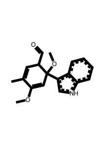 COC1=CC(OC)(c2c[nH]c3ccccc23)C(C=O)C=C1C